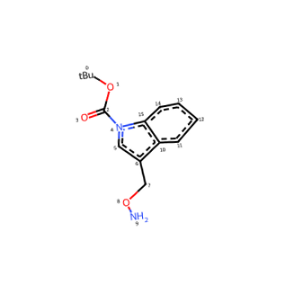 CC(C)(C)OC(=O)n1cc(CON)c2ccccc21